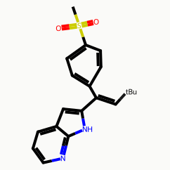 CC(C)(C)/C=C(\c1ccc(S(C)(=O)=O)cc1)c1cc2cccnc2[nH]1